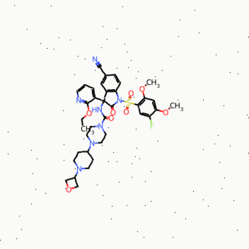 CCOc1ncccc1C1(NC(=O)N2CCN(C3CCN(C4COC4)CC3)CC2)C(=O)N(S(=O)(=O)c2cc(F)c(OC)cc2OC)c2ccc(C#N)cc21